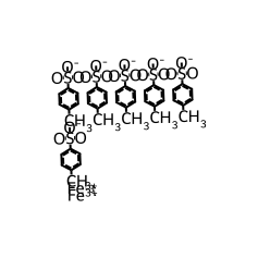 Cc1ccc(S(=O)(=O)[O-])cc1.Cc1ccc(S(=O)(=O)[O-])cc1.Cc1ccc(S(=O)(=O)[O-])cc1.Cc1ccc(S(=O)(=O)[O-])cc1.Cc1ccc(S(=O)(=O)[O-])cc1.Cc1ccc(S(=O)(=O)[O-])cc1.[Fe+3].[Fe+3]